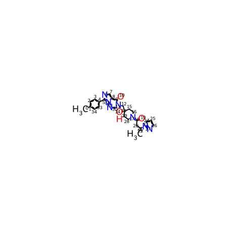 Cc1ccc(-c2ncc3c(=O)n(CC4(O)CCN(C(=O)C[C@H](C)n5cccn5)CC4)cnn23)cc1